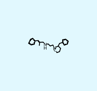 C/C(=C\c1ccccc1)CNCCCN1CCCCC1Cc1ccccc1